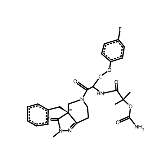 CN1N=C2CCN(C(=O)C(COc3ccc(F)cc3)NC(=O)C(C)(C)OC(N)=O)C[C@@]2(Cc2ccccc2)C1=O